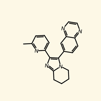 Cc1cccc(-c2nc3n(c2-c2ccc4nccnc4c2)CCCC3)n1